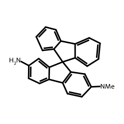 CNc1ccc2c(c1)C1(c3ccccc3-c3ccccc31)c1cc(N)ccc1-2